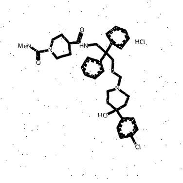 CNC(=O)N1CCC(C(=O)NCC(CCCN2CCC(O)(c3ccc(Cl)cc3)CC2)(c2ccccc2)c2ccccc2)CC1.Cl